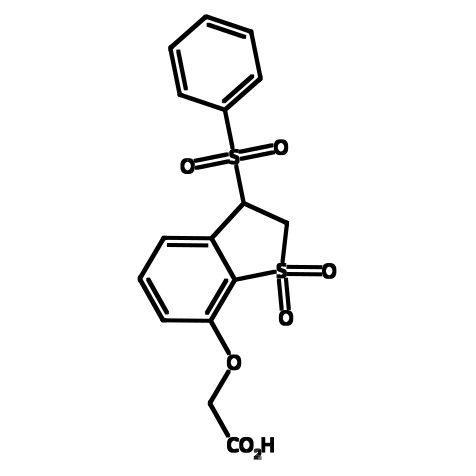 O=C(O)COc1cccc2c1S(=O)(=O)CC2S(=O)(=O)c1ccccc1